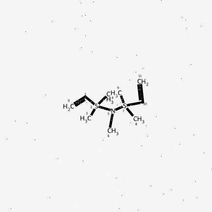 C=CS(C)(C)N(C)S(C)(C)C=C